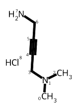 CN(C)CC#CCN.Cl